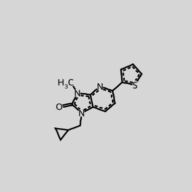 Cn1c(=O)n(CC2CC2)c2ccc(-c3cccs3)nc21